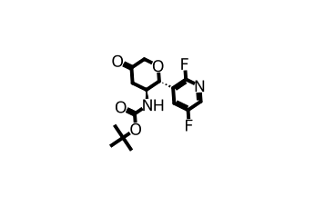 CC(C)(C)OC(=O)N[C@H]1CC(=O)CO[C@@H]1c1cc(F)cnc1F